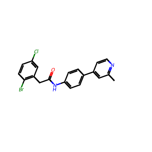 Cc1cc(-c2ccc(NC(=O)Cc3cc(Cl)ccc3Br)cc2)ccn1